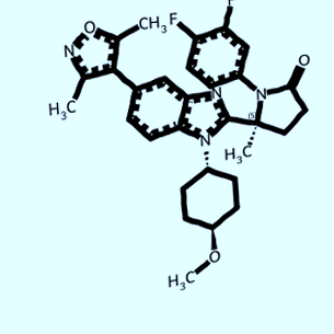 CO[C@H]1CC[C@H](n2c([C@]3(C)CCC(=O)N3c3ccc(F)c(F)c3)nc3cc(-c4c(C)noc4C)ccc32)CC1